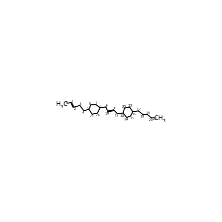 CC=CCCC1CCC(CC=CCC2CCC(CCCCC)CC2)CC1